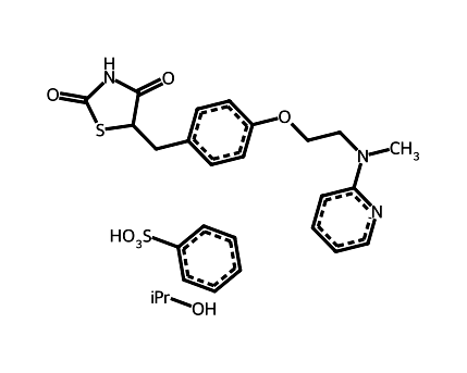 CC(C)O.CN(CCOc1ccc(CC2SC(=O)NC2=O)cc1)c1ccccn1.O=S(=O)(O)c1ccccc1